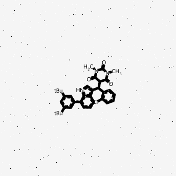 CN1C(=O)C(C(c2ccccc2Cl)c2c[nH]c3c(-c4cc(C(C)(C)C)cc(C(C)(C)C)c4)cccc23)C(=O)N(C)C1=O